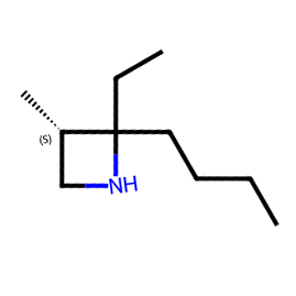 CCCCC1(CC)NC[C@@H]1C